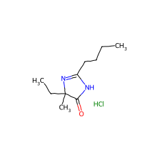 CCCCC1=NC(C)(CC)C(=O)N1.Cl